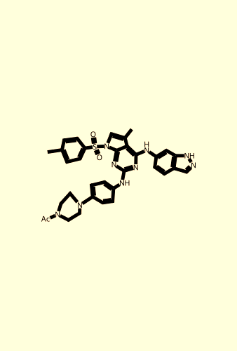 CC(=O)N1CCN(c2ccc(Nc3nc(Nc4ccc5cn[nH]c5c4)c4c(C)cn(S(=O)(=O)c5ccc(C)cc5)c4n3)cc2)CC1